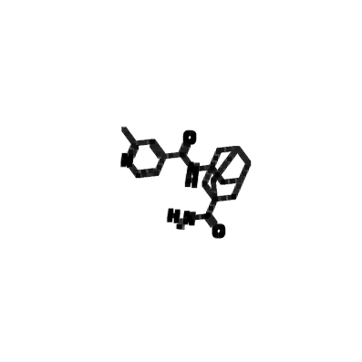 Cc1cc(C(=O)NC23CC4CC(C2)CC(C(N)=O)(C4)C3)ccn1